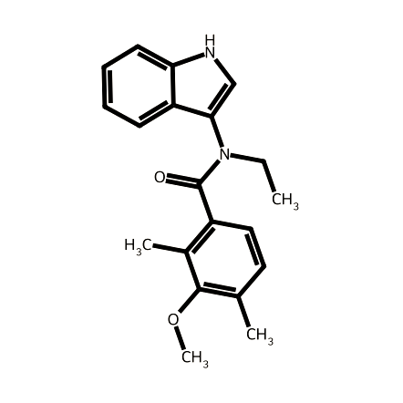 CCN(C(=O)c1ccc(C)c(OC)c1C)c1c[nH]c2ccccc12